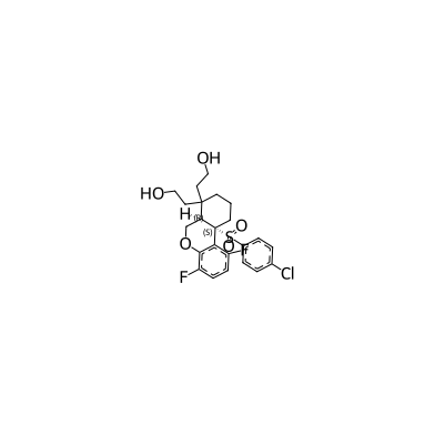 O=S(=O)(c1ccc(Cl)cc1)[C@@]12CCCC(CCO)(CCO)[C@@H]1COc1c(F)ccc(F)c12